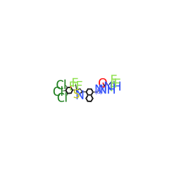 O=C(NCC(F)(F)F)N/N=C/c1ccc(C2=NSC(c3cc(Cl)c(Cl)c(Cl)c3)(C(F)(F)F)C2)c2ccccc12